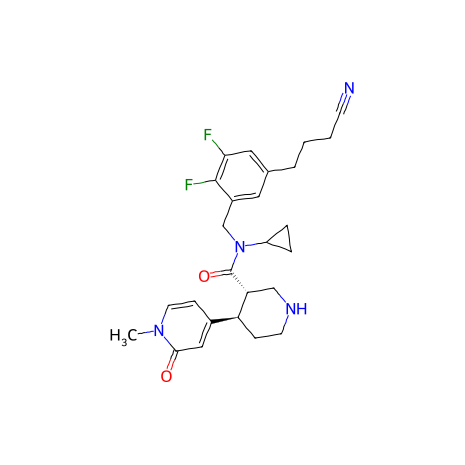 Cn1ccc([C@@H]2CCNC[C@H]2C(=O)N(Cc2cc(CCCC#N)cc(F)c2F)C2CC2)cc1=O